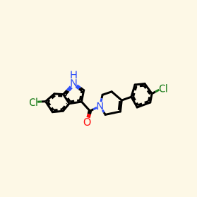 O=C(c1c[nH]c2cc(Cl)ccc12)N1CC=C(c2ccc(Cl)cc2)CC1